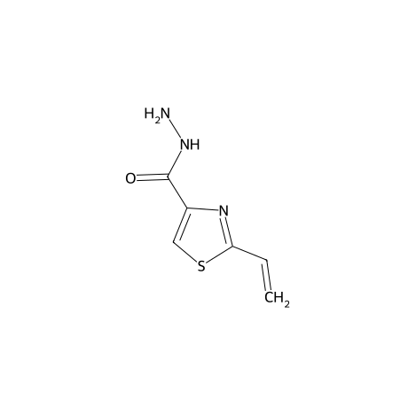 C=Cc1nc(C(=O)NN)cs1